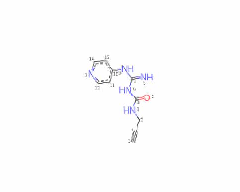 C#CCNC(=O)NC(=N)Nc1ccncc1